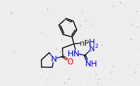 CCCC(CC(=O)N1CCCC1)(NC(=N)N)c1ccccc1